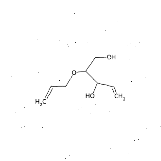 C=CCOC(CO)C(O)C=C